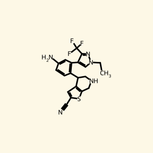 CCn1cc(-c2cc(N)ccc2C2CNCc3sc(C#N)cc32)c(C(F)(F)F)n1